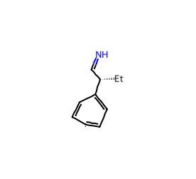 CC[C@@H](C=N)c1cc[c]cc1